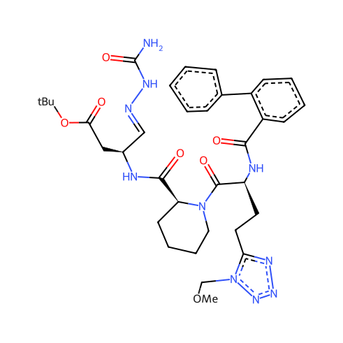 COCn1nnnc1CC[C@H](NC(=O)c1ccccc1-c1ccccc1)C(=O)N1CCCC[C@H]1C(=O)N[C@H](/C=N/NC(N)=O)CC(=O)OC(C)(C)C